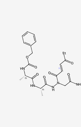 CCC(=O)/C=C/C(=O)N(CC(N)=O)NC(=O)[C@H](C)NC(=O)[C@H](C)NC(=O)OCc1ccccc1